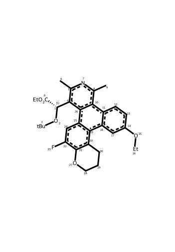 CCOC(=O)[C@@H](OC(C)(C)C)c1c(C)nc(C)c2c3ccc(OCC)cc3c3c4c(c(F)cc3c12)OCCC4